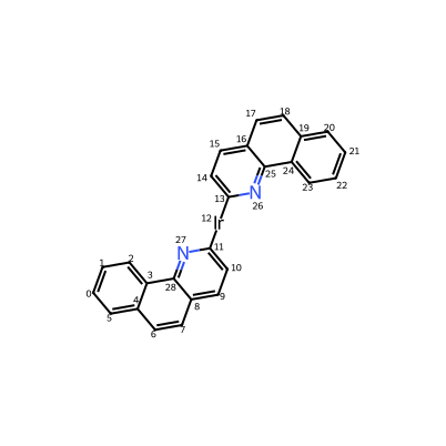 c1ccc2c(c1)ccc1cc[c]([Ir][c]3ccc4ccc5ccccc5c4n3)nc12